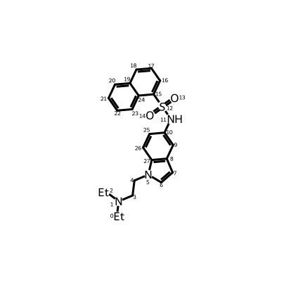 CCN(CC)CCn1ccc2cc(NS(=O)(=O)c3cccc4ccccc34)ccc21